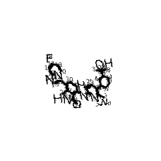 CN(C)Cc1nc(Nc2ccc(-c3cnc4cc(F)ccn34)c3c2C(=O)NC3)ccc1C1CCCC(C(C)(C)O)C1